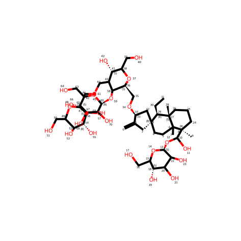 C=C1C[C@]2(CCC3(C)[C@](C)(C(O)O[C@@H]4OC(CO)[C@@H](O)C(O)C4O)CCC[C@@]3(C)[C@@H]2CC)C[C@@H]1OC[C@@H]1OC(CO)[C@@H](O)C(COC[C@@H]2OC(CO)C(O)[C@@H](O)[C@@H]2O)C1O[C@@H]1OC(CO)[C@@H](O)C(O)C1O